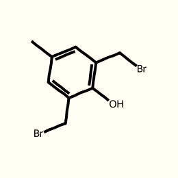 Cc1cc(CBr)c(O)c(CBr)c1